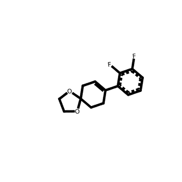 Fc1cccc(C2=CCC3(CC2)OCCO3)c1F